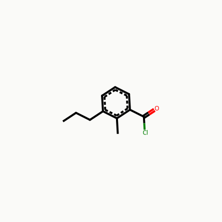 CCCc1cccc(C(=O)Cl)c1C